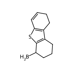 BC1CCCc2c1sc1c2CCC=C1